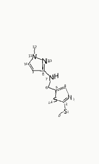 CSc1ncc(CNc2ccn(C)n2)s1